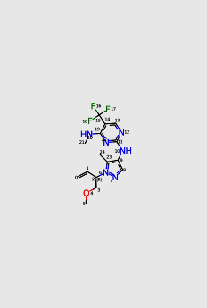 C=C[C@H](COC)n1ncc(Nc2ncc(C(F)(F)F)c(NC)n2)c1C